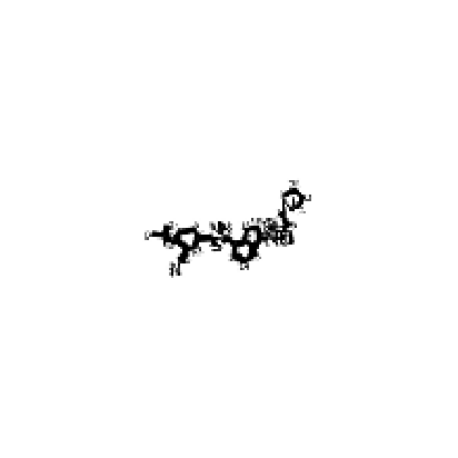 CC(C)Oc1ccc(-c2nnc(-c3cccc4c3CC[C@@H]4NS(=O)(=O)CCN3CCCC3)s2)cc1C#N